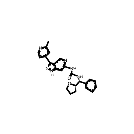 Cc1cc(-c2n[nH]c3cc(NC(=O)N[C@@H](c4ccccc4)[C@H]4CCCO4)ncc23)ccn1